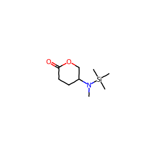 CN(C1CCC(=O)OC1)[Si](C)(C)C